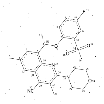 Cc1cc([C@H](C)Oc2ccc(F)cc2S(C)(=O)=O)c2nc(N3CCOCC3)c(C)c(C#N)c2c1